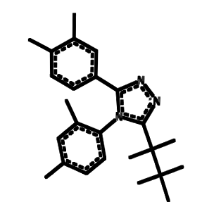 Cc1ccc(-n2c(-c3ccc(C)c(C)c3)nnc2C(C)(C)C(C)(C)C)c(C)c1